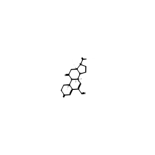 C[C@]12CCC(=O)C=C1C(C=O)=C[C@@H]1[C@@H]2C(=O)C[C@@]2(C)[C@H]1CC[C@]2(O)C(=O)O